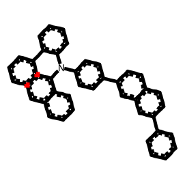 c1ccc(-c2ccc3ccc(-c4ccc(N(c5ccccc5-c5ccccc5)c5cccc6ccccc56)cc4)cc3c2)cc1